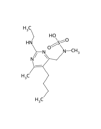 CCCCc1c(C)nc(NCC)nc1CN(C)S(=O)(=O)O